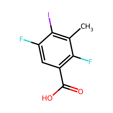 Cc1c(F)c(C(=O)O)cc(F)c1I